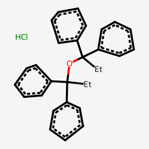 CCC(OC(CC)(c1ccccc1)c1ccccc1)(c1ccccc1)c1ccccc1.Cl